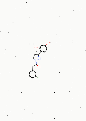 COc1ccc(C2=NN(C(=O)Cc3cccc(Cl)c3)CC2)c(OC)c1